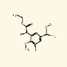 CCOC(=O)C(Br)c1cc(C(C)OC)cc(F)c1OC